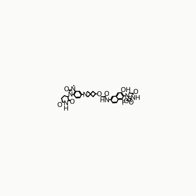 Cn1c(=O)n(C2CCC(=O)NC2=O)c2ccc(N3CC4(CC(OCC(=O)Nc5ccc6c(F)c(N7CC(=O)NS7(=O)=O)c(O)cc6c5)C4)C3)cc21